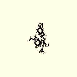 CCCCCn1c(Cn2c(=O)n(C3CC3)c3ccncc32)cc2cc(Cl)ccc21